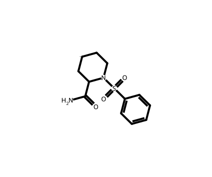 NC(=O)C1C[CH]CCN1S(=O)(=O)c1ccccc1